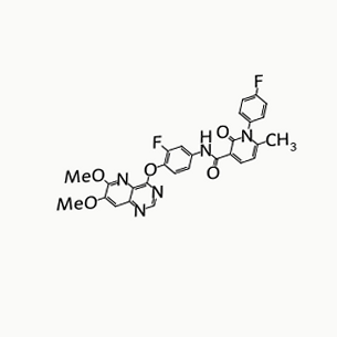 COc1cc2ncnc(Oc3ccc(NC(=O)c4ccc(C)n(-c5ccc(F)cc5)c4=O)cc3F)c2nc1OC